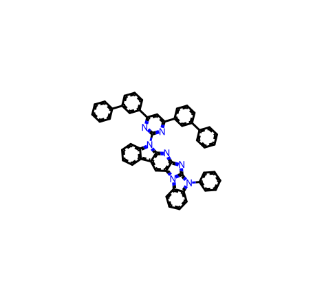 c1ccc(-c2cccc(-c3cc(-c4cccc(-c5ccccc5)c4)nc(-n4c5ccccc5c5cc6c(nc54)nc4n(-c5ccccc5)c5ccccc5n64)n3)c2)cc1